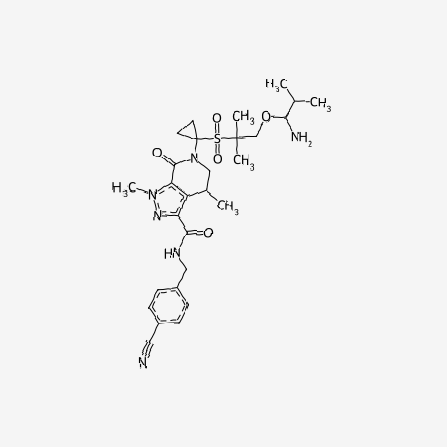 CC1CN(C2(S(=O)(=O)C(C)(C)COC(N)C(C)C)CC2)C(=O)c2c1c(C(=O)NCc1ccc(C#N)cc1)nn2C